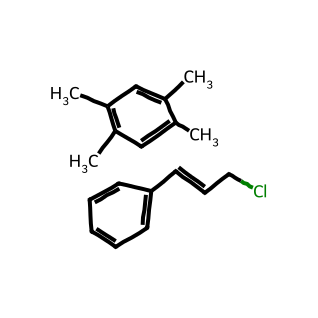 Cc1cc(C)c(C)cc1C.ClCC=Cc1ccccc1